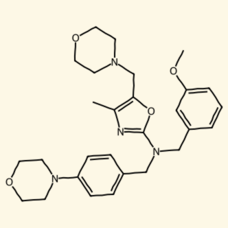 COc1cccc(CN(Cc2ccc(N3CCOCC3)cc2)c2nc(C)c(CN3CCOCC3)o2)c1